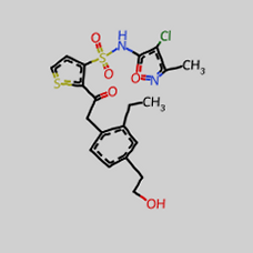 CCc1cc(CCO)ccc1CC(=O)c1sccc1S(=O)(=O)Nc1onc(C)c1Cl